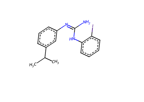 CC(C)c1cccc(N=C(N)Nc2ccccc2I)c1